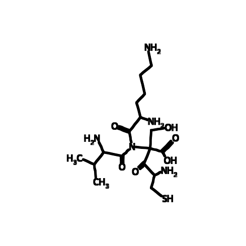 CC(C)C(N)C(=O)N(C(=O)C(N)CCCCN)C(CO)(C(=O)O)C(=O)C(N)CS